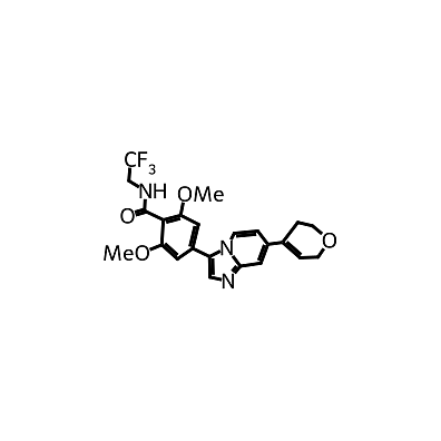 COc1cc(-c2cnc3cc(C4=CCOCC4)ccn23)cc(OC)c1C(=O)NCC(F)(F)F